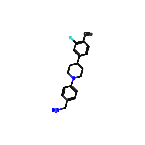 COc1ccc(C2CCN(c3ccc(CN)cc3)CC2)cc1F